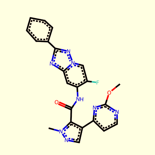 COc1nccc(-c2cnn(C)c2C(=O)Nc2cc3nc(-c4ccccc4)nn3cc2F)n1